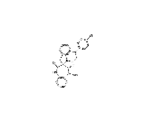 CCCN1C(=O)C(Cc2ccccc2)(N2CCN(c3ccc(Cl)cc3)CC2)C(=O)Nc2ccccc21